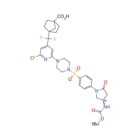 CC(C)(C)OC(=O)N[C@@H]1CC(=O)N(c2ccc(S(=O)(=O)N3CCN(c4cc(C(F)(F)C56CCC(C(=O)O)(CC5)C6)cc(Cl)n4)CC3)cc2)C1